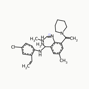 C=Cc1cc(Cl)ccc1NC(N)c1cc(C)cc(C(=C)N2CCCCC2)c1/N=C\NC